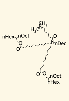 CCCCCCCCCCN(C(=O)CCCCN(C)C)C(CCCCCCCCC(=O)OCC(CCCCCC)CCCCCCCC)CCCCCCCCC(=O)OCC(CCCCCC)CCCCCCCC